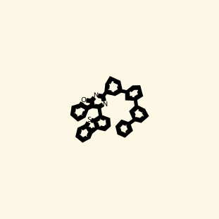 c1ccc(-c2cccc(-c3cccc(-c4cccc(-c5nc(-c6cccc7c6sc6ccccc67)c6c(n5)oc5ccccc56)c4)c3)c2)cc1